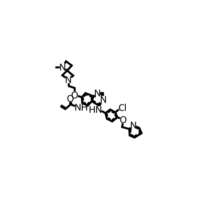 C=CC(=O)Nc1cc2c(Nc3ccc(OCc4ccccn4)c(Cl)c3)ncnc2cc1OCCN1CC2(CCN2C)C1